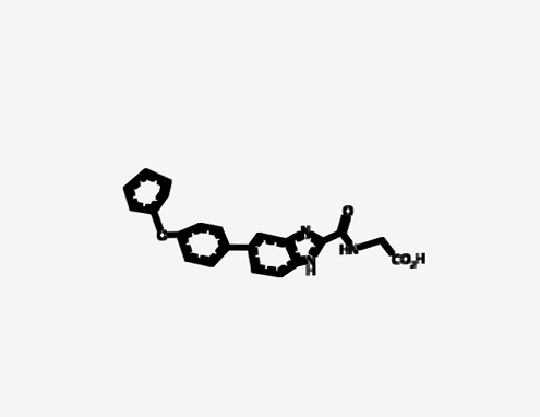 O=C(O)CNC(=O)c1nc2cc(-c3ccc(Oc4ccccc4)cc3)ccc2[nH]1